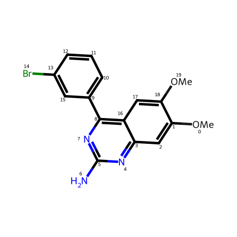 COc1cc2nc(N)nc(-c3cccc(Br)c3)c2cc1OC